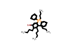 CCCCc1c(Br)cc([PH](CCCC)(c2ccccc2)c2ccccc2)c(CCCC)c1CCCC